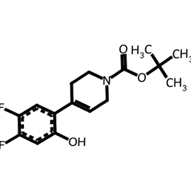 CC(C)(C)OC(=O)N1CC=C(c2cc(F)c(F)cc2O)CC1